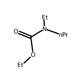 CCCN(CC)C(=O)OCC